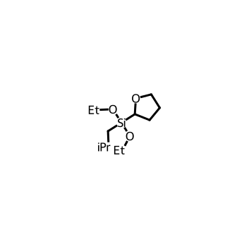 CCO[Si](CC(C)C)(OCC)C1CCCO1